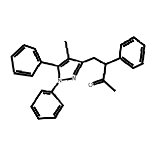 CC(=O)C(Cc1nn(-c2ccccc2)c(-c2ccccc2)c1C)c1ccccc1